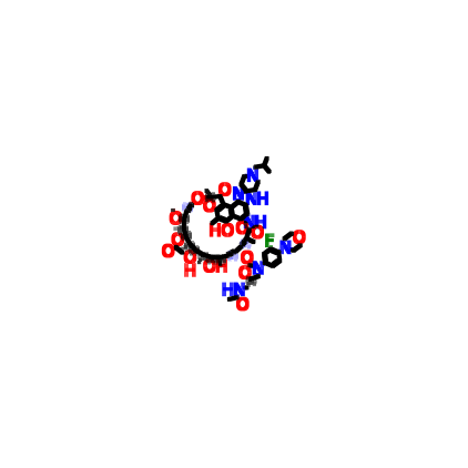 CC(=O)NC[C@H]1CN(c2ccc(N3CCOCC3)c(F)c2)C(=O)O1.CO[C@@H]1/C=C\O[C@@]2(C)Oc3c(C)c(O)c4c(c3C2=O)C2=NC3(CCN(CC(C)C)CC3)NC2=C(NC(=O)/C(C)=C\C=C/[C@@H](C)[C@@H](O)[C@H](C)[C@H](O)[C@H](C)[C@H](OC(C)=O)[C@@H]1C)C4=O